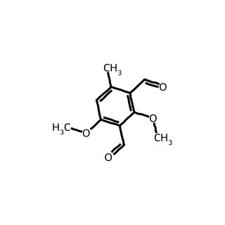 COc1cc(C)c(C=O)c(OC)c1C=O